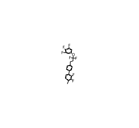 Cc1ccc(-c2ccc(CCC(F)(F)Oc3cc(F)c(F)c(F)c3)cc2)c(F)c1F